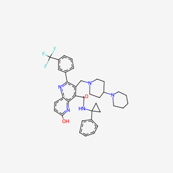 O=C(NC1(c2ccccc2)CC1)c1c(CN2CCC(N3CCCCC3)CC2)c(-c2cccc(C(F)(F)F)c2)nc2ccc(O)nc12